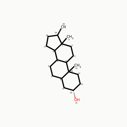 CC12CCC3C(CCC4C[C@@H](O)CCC43C)C1CCC2C#N